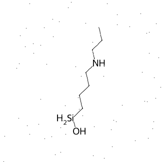 CCCNCCCC[SiH2]O